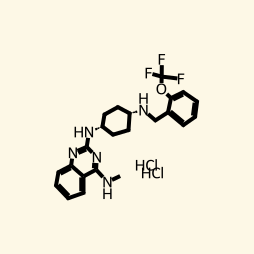 CNc1nc(N[C@H]2CC[C@@H](NCc3ccccc3OC(F)(F)F)CC2)nc2ccccc12.Cl.Cl